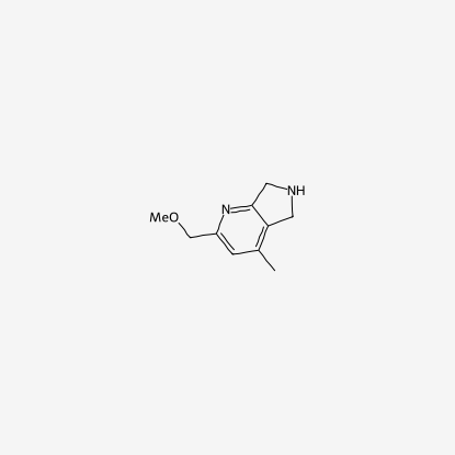 COCc1cc(C)c2c(n1)CNC2